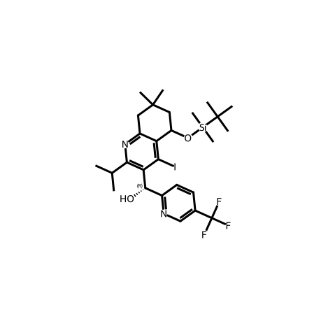 CC(C)c1nc2c(c(I)c1[C@@H](O)c1ccc(C(F)(F)F)cn1)C(O[Si](C)(C)C(C)(C)C)CC(C)(C)C2